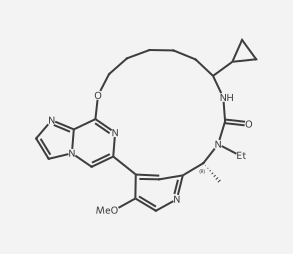 CCN1C(=O)NC(C2CC2)CCCCCOc2nc(cn3ccnc23)-c2cc(ncc2OC)[C@H]1C